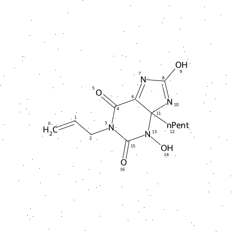 C=CCN1C(=O)C2=NC(O)=NC2(CCCCC)N(O)C1=O